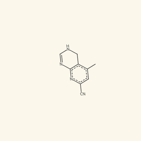 Cc1cc(C#N)nc2c1CNC=N2